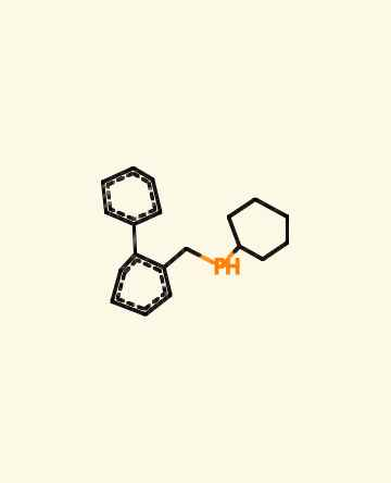 c1ccc(-c2ccccc2CPC2CCCCC2)cc1